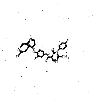 Cc1ncc(C(=O)Nc2ccc(Oc3ccnc4cnc(Cl)cc34)c(F)c2)c(=O)n1-c1ccc(F)cc1